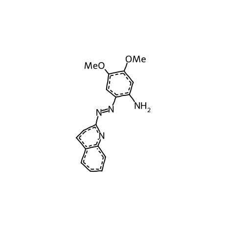 COc1cc(N)c(N=Nc2ccc3ccccc3n2)cc1OC